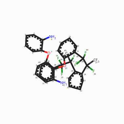 Nc1ccccc1Oc1ccccc1C(F)(F)C(F)(c1ccccc1C(F)(C(F)(F)F)C(F)(F)c1ccccc1Oc1ccccc1N)C(F)(F)F